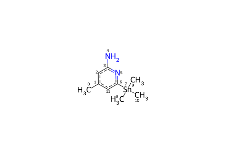 Cc1cc(N)n[c]([Sn]([CH3])([CH3])[CH3])c1